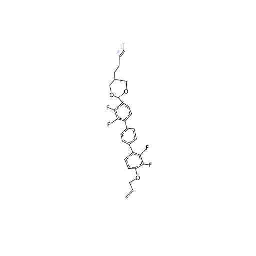 C=CCOc1ccc(-c2ccc(-c3ccc(C4OCC(CC/C=C/C)CO4)c(F)c3F)cc2)c(F)c1F